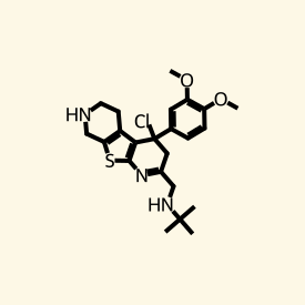 COc1ccc(C2(Cl)CC(CNC(C)(C)C)=Nc3sc4c(c32)CCNC4)cc1OC